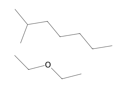 CCCCCC(C)C.CCOCC